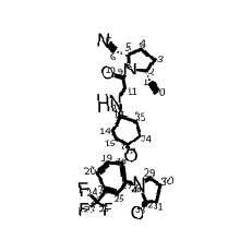 C#C[C@H]1CC[C@@H](C#N)N1C(=O)CN[C@H]1CC[C@H](Oc2ccc(C(F)(F)F)cc2N2CCCC2=O)CC1